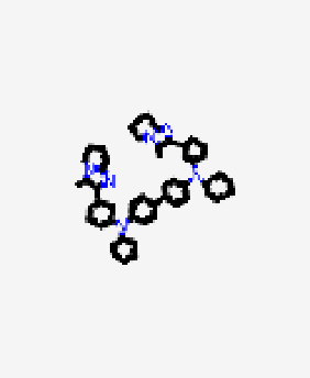 Cc1c(-c2cccc(N(c3ccccc3)c3ccc(-c4ccc(N(c5ccccc5)c5cccc(-c6nc7ccccn7c6C)c5)cc4)cc3)c2)nc2ccccn12